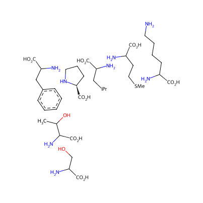 CC(C)CC(N)C(=O)O.CC(O)C(N)C(=O)O.CSCCC(N)C(=O)O.NC(CO)C(=O)O.NC(Cc1ccccc1)C(=O)O.NCCCCC(N)C(=O)O.O=C(O)[C@@H]1CCCN1